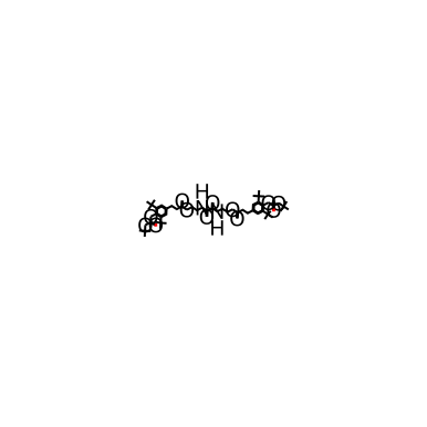 CC(C)(C)OC(=O)Oc1c(C(C)(C)C)cc(CCC(=O)OCCNC(=O)C(=O)NCCOC(=O)CCc2cc(C(C)(C)C)c(OC(=O)OC(C)(C)C)c(C(C)(C)C)c2)cc1C(C)(C)C